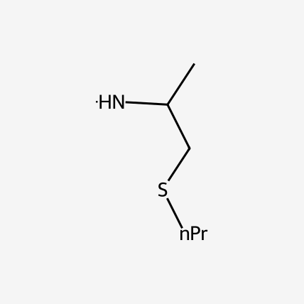 CCCSCC(C)[NH]